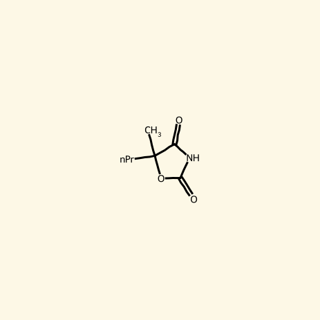 CCCC1(C)OC(=O)NC1=O